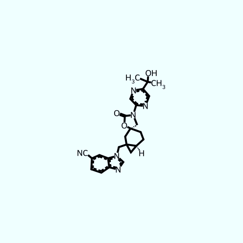 CC(C)(O)c1cnc(N2C[C@@]3(CC[C@H]4CC4(Cn4cnc5ccc(C#N)cc54)C3)OC2=O)cn1